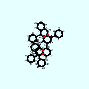 c1ccc(-c2ccc(N(c3ccccc3)c3ccccc3-c3cccc4ccccc34)c(-c3cccc4c3-c3ccccc3C4(c3ccccc3)c3ccccc3)c2)cc1